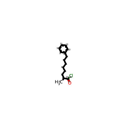 CC(CCCCCCc1ccccc1)C(=O)Cl